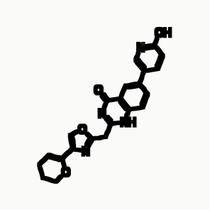 O=c1nc(Cc2nc(C3=CCCCO3)co2)[nH]c2ccc(-c3ccc(O)nc3)cc12